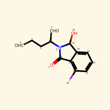 O=CCCC(C=O)N1C(=O)c2c(I)cccc2C1O